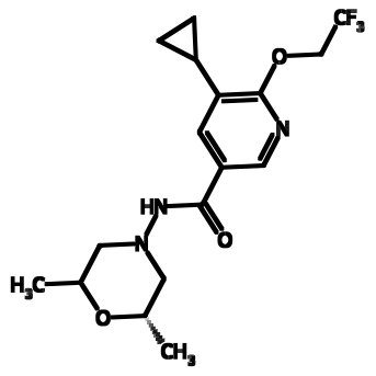 CC1CN(NC(=O)c2cnc(OCC(F)(F)F)c(C3CC3)c2)C[C@H](C)O1